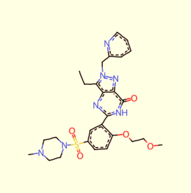 CCc1c2nc(-c3cc(S(=O)(=O)N4CCN(C)CC4)ccc3OCCOC)[nH]c(=O)c2nn1Cc1ccccn1